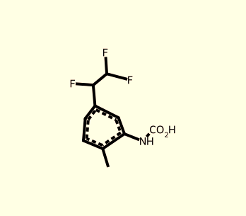 Cc1ccc(C(F)C(F)F)cc1NC(=O)O